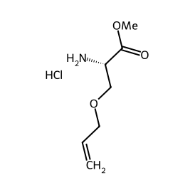 C=CCOC[C@H](N)C(=O)OC.Cl